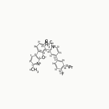 Cc1ccc2c(n1)oc1c(-c3cc(-c4ccc(F)c(C(C)C)c4)cc[n+]3C)c(C)ccc12